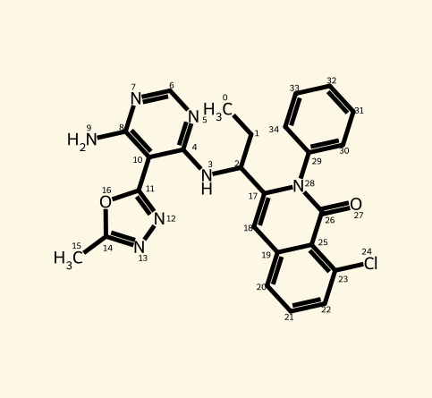 CCC(Nc1ncnc(N)c1-c1nnc(C)o1)c1cc2cccc(Cl)c2c(=O)n1-c1ccccc1